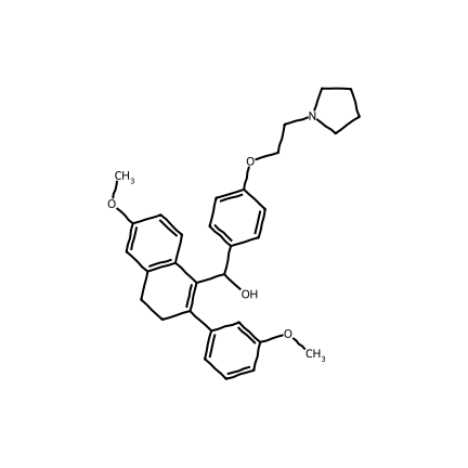 COc1cccc(C2=C(C(O)c3ccc(OCCN4CCCC4)cc3)c3ccc(OC)cc3CC2)c1